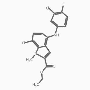 CCOC(=O)c1cc2c(Nc3ccc(F)c(Cl)c3)ccc(Cl)c2n1C